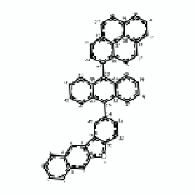 c1ccc2cc3c(cc2c1)oc1ccc(-c2c4ccccc4c(-c4ccc5ccc6cccc7ccc4c5c67)c4ccccc24)cc13